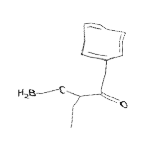 BCC(C)C(=O)c1ccccc1